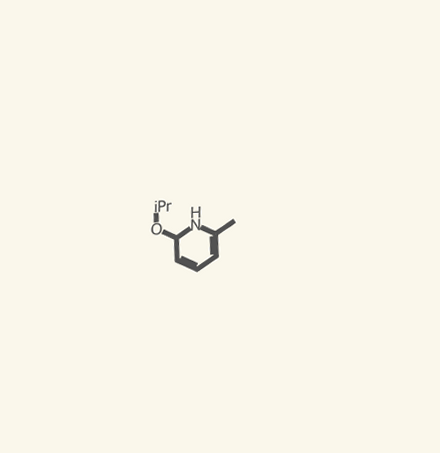 CC1=CC=CC(OC(C)C)N1